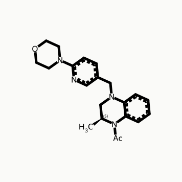 CC(=O)N1c2ccccc2N(Cc2ccc(N3CCOCC3)nc2)C[C@@H]1C